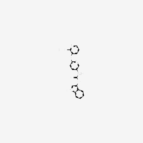 Cc1ncccc1Oc1ccc(NC(=O)Oc2c[nH]c3ccccc23)cn1